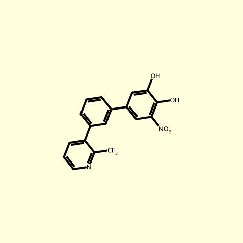 O=[N+]([O-])c1cc(-c2cccc(-c3cccnc3C(F)(F)F)c2)cc(O)c1O